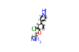 NCCCOC1=C(Cl)C[C@H](C2=CCNC=C2)C=C1